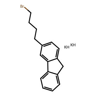 BrCCCCc1ccc2c(c1)-c1ccccc1C2.[KH].[KH]